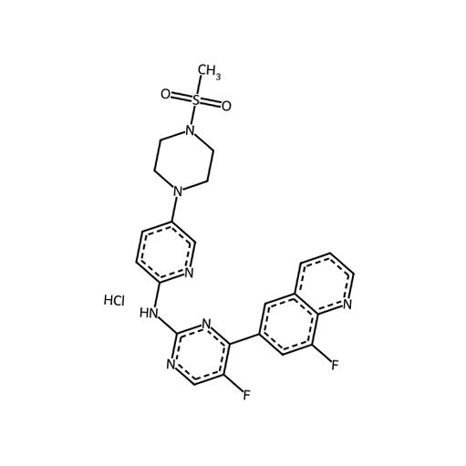 CS(=O)(=O)N1CCN(c2ccc(Nc3ncc(F)c(-c4cc(F)c5ncccc5c4)n3)nc2)CC1.Cl